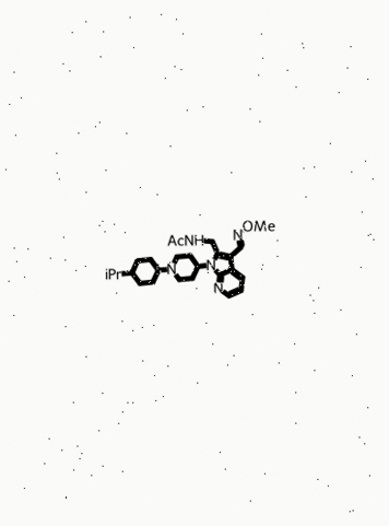 CON=Cc1c(CNC(C)=O)n(C2CCN(C3CCC(C(C)C)CC3)CC2)c2ncccc12